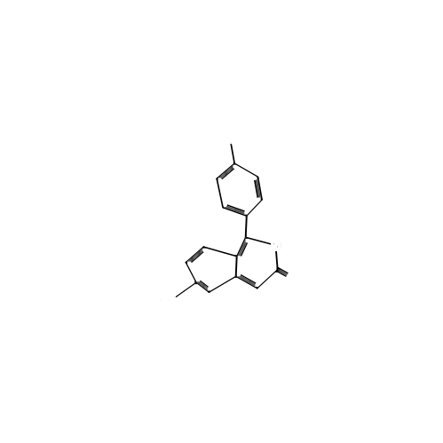 O=C(O)c1ccc2c(-c3ccc(C(F)(F)F)cc3)[nH]c(=O)cc2c1